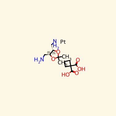 CC1(C)O[C@@H](CN)[C@H](CN)O1.O=C(O)C1(C(=O)O)CCC1.[Pt]